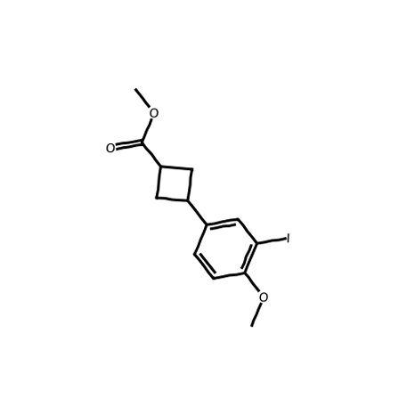 COC(=O)C1CC(c2ccc(OC)c(I)c2)C1